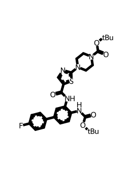 CC(C)(C)OC(=O)Nc1ccc(-c2ccc(F)cc2)cc1NC(=O)c1cnc(N2CCN(C(=O)OC(C)(C)C)CC2)s1